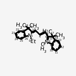 CCN1C(=CC=CC2=[N+](C)c3ccccc3C2(C)C)C(C)(C)c2ccccc21